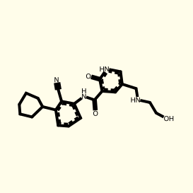 N#Cc1c(NC(=O)c2cc(CNCCO)c[nH]c2=O)cccc1C1CCCCC1